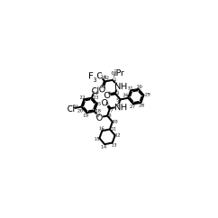 CC(C)[C@H](NC(=O)C(NC(=O)C(CC1CCCCC1)Oc1cc(Cl)cc(Cl)c1)c1ccccc1)C(=O)C(F)(F)F